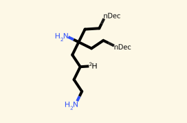 [2H]C(CCN)CC(N)(CCCCCCCCCCCC)CCCCCCCCCCCC